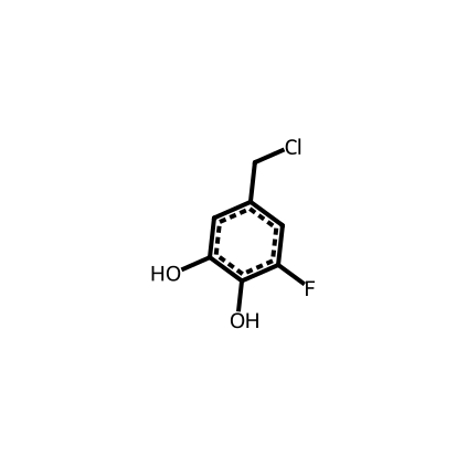 Oc1cc(CCl)cc(F)c1O